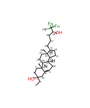 CC[C@]1(O)CC[C@@]2(C)C(=CC[C@H]3[C@@H]4CC[C@H](CCCC(O)C(F)(F)F)[C@@]4(C)CC[C@@H]32)C1